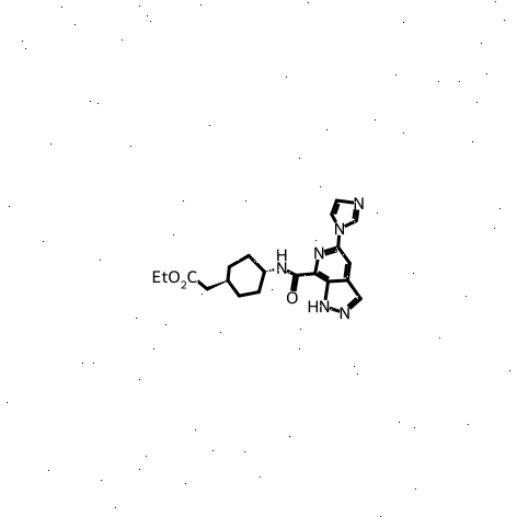 CCOC(=O)C[C@H]1CC[C@H](NC(=O)c2nc(-n3ccnc3)cc3cn[nH]c23)CC1